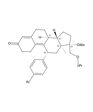 CCCOC[C@]1(OC)CC[C@H]2[C@@H]3CCC4=CC(=O)CCC4=C3[C@@H](c3ccc(C(C)=O)cc3)C[C@@]21C